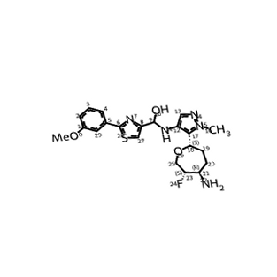 COc1cccc(-c2nc(C(O)Nc3cnn(C)c3[C@@H]3CC[C@@H](N)[C@H](F)CO3)cs2)c1